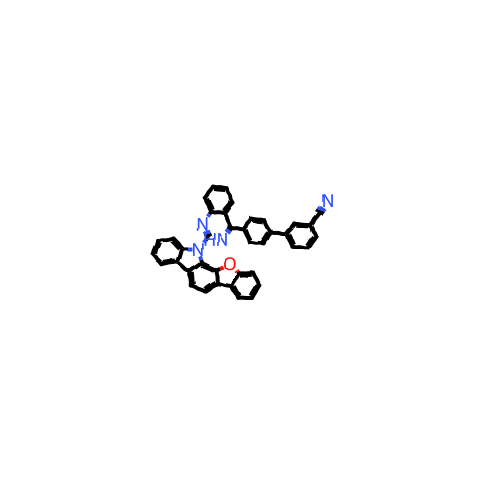 N#Cc1cccc(-c2ccc(C(=N)c3ccccc3/N=C/n3c4ccccc4c4ccc5c6ccccc6oc5c43)cc2)c1